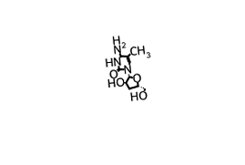 CC1=CN([C@@H]2O[C@H](CO)C[C@@H]2O)C(=O)NC1N